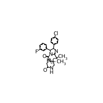 CC(C)(C)C1=NC(c2ccc(Cl)cc2)C(c2cccc(F)c2)N1C(=O)N1CCNC(=O)C1